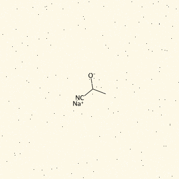 CC([O-])C#N.[Na+]